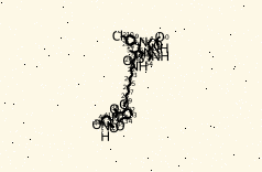 COC(=O)CC1N=C(c2ccc(Cl)cc2)c2c(sc(C(=O)NCCCCCCCCOc3cccc4c3C(=O)N(C3CCC(=O)NC3=O)C4=O)c2C)N(C(C)=N)C1=N